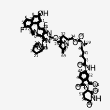 C#Cc1c(F)ccc2cc(O)cc(-c3ncc4c(N5CC6CCC(C5)N6)nc(OCC56CCC(COC(=O)N(C)CCCCC(=O)Nc7ccc8c(c7)C(=O)N(C7CCC(=O)NC7=O)C8=O)N5CC(=C)C6)nc4c3F)c12